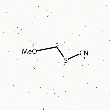 COCSC#N